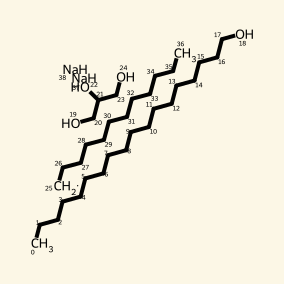 CCCCCCCCCCCCCCCCCCO.OCC(O)CO.[CH2]CCCCCCCCCCC.[NaH].[NaH]